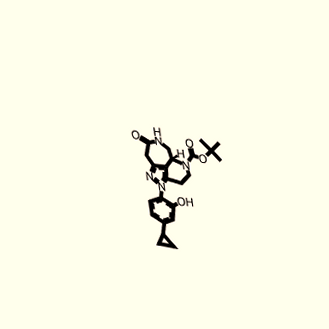 CC(C)(C)OC(=O)N1CCc2c3c(nn2-c2ccc(C4CC4)cc2O)CC(=O)NC[C@@H]31